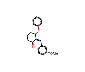 COc1cccc(/C=C2\C(=O)CCCC2Oc2ccccc2)c1